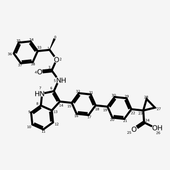 C[C@@H](OC(=O)Nc1[nH]c2ccccc2c1-c1ccc(-c2ccc(C3(C(=O)O)CC3)cc2)cc1)c1ccccc1